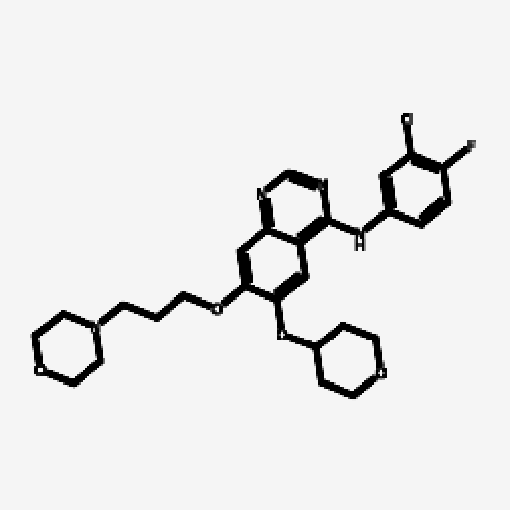 Fc1ccc(Nc2ncnc3cc(OCCCN4CCOCC4)c(OC4CCOCC4)cc23)cc1Cl